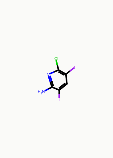 Nc1nc(Cl)c(I)cc1I